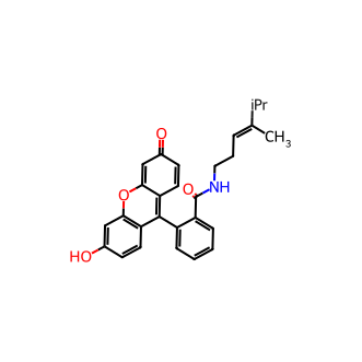 C/C(=C\CCNC(=O)c1ccccc1-c1c2ccc(=O)cc-2oc2cc(O)ccc12)C(C)C